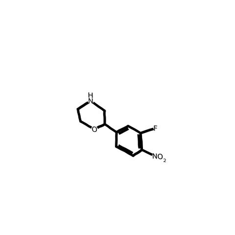 O=[N+]([O-])c1ccc(C2CNCCO2)cc1F